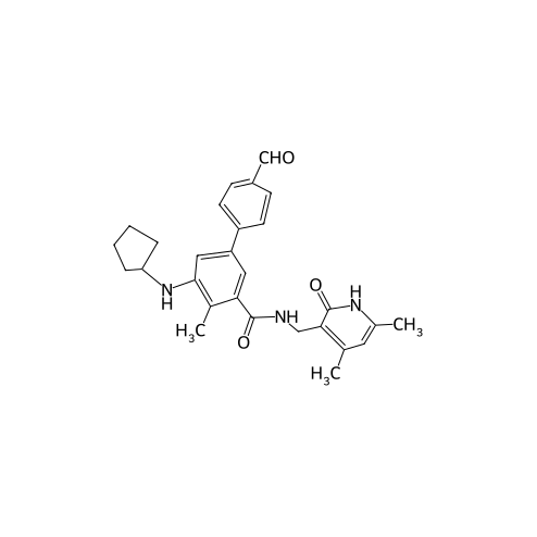 Cc1cc(C)c(CNC(=O)c2cc(-c3ccc(C=O)cc3)cc(NC3CCCC3)c2C)c(=O)[nH]1